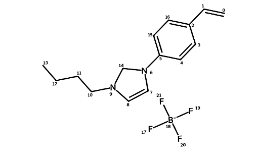 C=Cc1ccc(N2C=CN(CCCC)C2)cc1.F[B-](F)(F)F